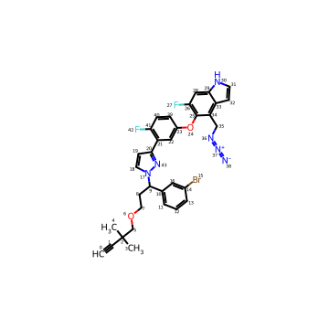 C#CC(C)(C)COCCC(c1cccc(Br)c1)n1ccc(-c2cc(Oc3c(F)cc4[nH]ccc4c3CN=[N+]=[N-])ccc2F)n1